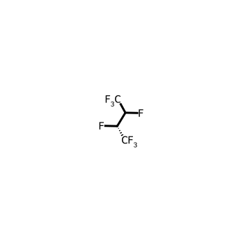 FC([C@@H](F)C(F)(F)F)C(F)(F)F